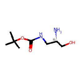 CC(C)(C)OC(=O)NC[C@H](N)CO